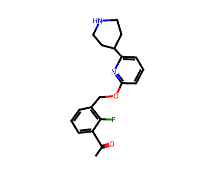 CC(=O)c1cccc(COc2cccc(C3CCNCC3)n2)c1F